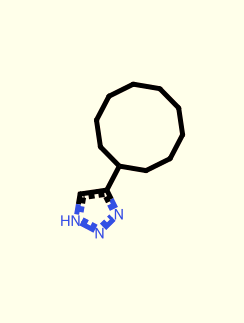 c1[nH]nnc1C1CCCCCCCCC1